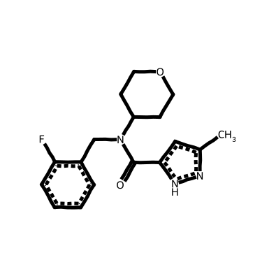 Cc1cc(C(=O)N(Cc2ccccc2F)C2CCOCC2)[nH]n1